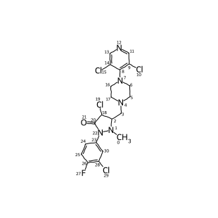 CN1C(CN2CCN(c3c(Cl)cncc3Cl)CC2)C(Cl)C(=O)N1c1ccc(F)c(Cl)c1